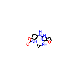 O=c1[nH]c2cc(Nc3nc(NC4CC4)c4occc4n3)ccc2o1